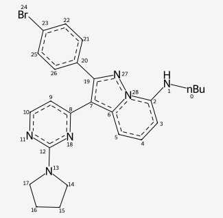 CCCCNc1cccc2c(-c3ccnc(N4CCCC4)n3)c(-c3ccc(Br)cc3)nn12